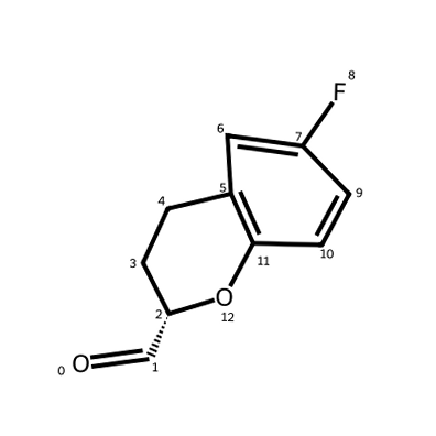 O=C[C@@H]1CCc2cc(F)ccc2O1